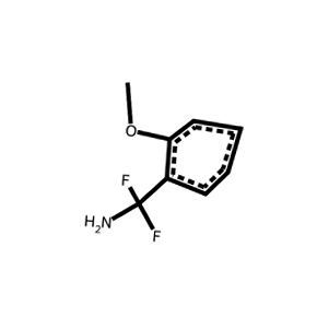 COc1ccccc1C(N)(F)F